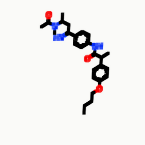 CCCCOc1ccc(C(C)C(=O)Nc2ccc(C(=N)CC(C)N(C)C(C)=O)cc2)cc1